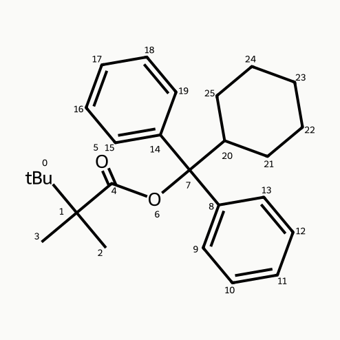 CC(C)(C)C(C)(C)C(=O)OC(c1ccccc1)(c1ccccc1)C1CCCCC1